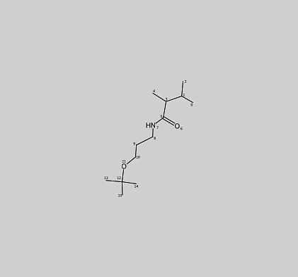 CC(C)C(C)C(=O)NCCCOC(C)(C)C